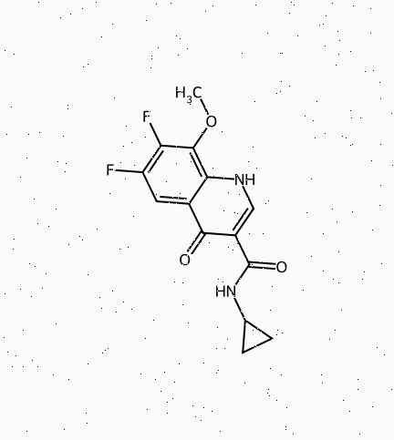 COc1c(F)c(F)cc2c(=O)c(C(=O)NC3CC3)c[nH]c12